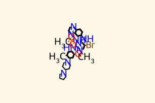 COc1cc(N2CCC(N3CCCC3)CC2)c(C)cc1Nc1ncc(Br)c(Nc2ccc3nccnc3c2NS(C)(=O)=O)n1